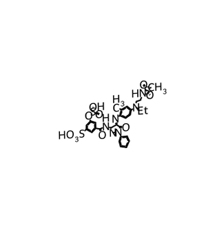 CCN(CCNS(C)(=O)=O)c1ccc(/N=C2\C(=O)N(c3ccccc3)N=C2NC(=O)c2cc(OS(=O)O)cc(S(=O)(=O)O)c2)c(C)c1